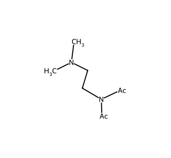 CC(=O)N(CCN(C)C)C(C)=O